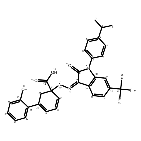 CC(C)c1ccc(N2C(=O)C(=NNC3(C(=O)O)C=CC=C(c4ccccc4O)C3)c3ccc(C(F)(F)F)cc32)cc1